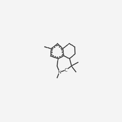 Cc1cc2c3c(c1)CN(C)CC(C)(C)C3CCC2